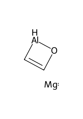 C1=[CH][AlH][O]1.[Mg]